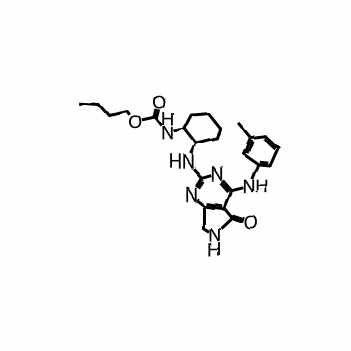 CCCCOC(=O)N[C@H]1CCCC[C@H]1Nc1nc2c(c(Nc3cccc(C)c3)n1)C(=O)NC2